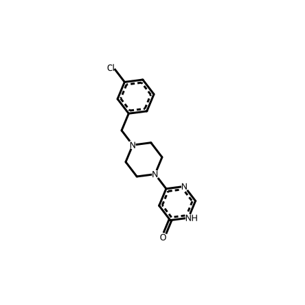 O=c1cc(N2CCN(Cc3cccc(Cl)c3)CC2)nc[nH]1